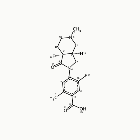 Cc1cc(N2C[C@@H]3CN(C)CC[C@]3(F)C2=O)c(F)cc1C(=O)O